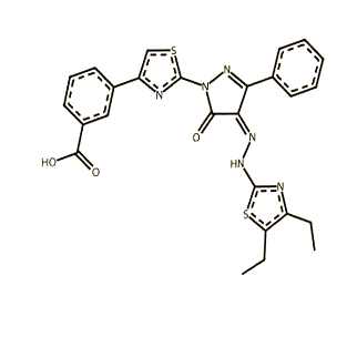 CCc1nc(N/N=C2\C(=O)N(c3nc(-c4cccc(C(=O)O)c4)cs3)N=C2c2ccccc2)sc1CC